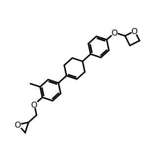 Cc1cc(C2=CCC(c3ccc(OC4CCO4)cc3)CC2)ccc1OCC1CO1